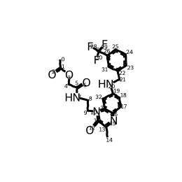 CC(=O)OCC(=O)NCCn1c(=O)c(C)nc2ccc(NCc3cccc(C(F)(F)F)c3)cc21